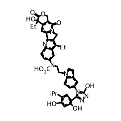 CCc1c2c(nc3ccc(N(CCn4ccc5cc(-n6c(O)nnc6-c6cc(C(C)C)c(O)cc6O)ccc54)C(=O)O)cc13)-c1cc3c(c(=O)n1C2)COC(=O)C3(O)CC